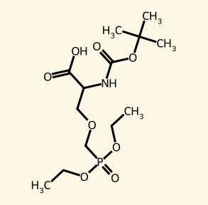 CCOP(=O)(COCC(NC(=O)OC(C)(C)C)C(=O)O)OCC